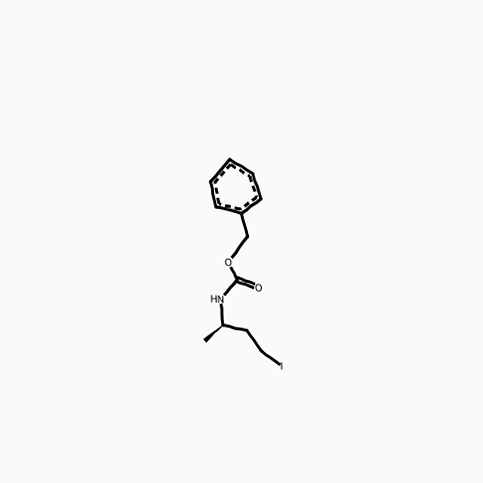 C[C@H](CCI)NC(=O)OCc1ccccc1